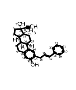 C#C[C@]1(C)CC[C@H]2[C@@H]3CCc4cc(O)c(C/C=C/c5ccccc5)cc4[C@H]3CC[C@@]21C